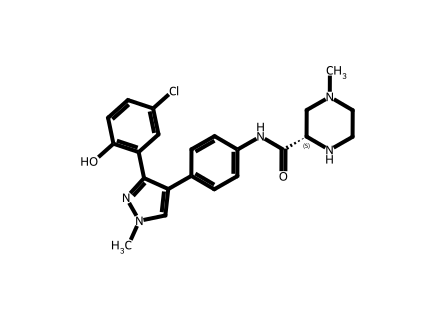 CN1CCN[C@H](C(=O)Nc2ccc(-c3cn(C)nc3-c3cc(Cl)ccc3O)cc2)C1